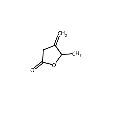 C=C1CC(=O)OC1C